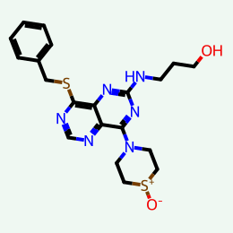 [O-][S+]1CCN(c2nc(NCCCO)nc3c(SCc4ccccc4)ncnc23)CC1